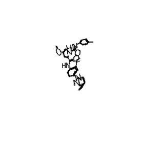 CO[C@@H]1C[C@H](C(=O)Nc2ccc(-n3ccc(C)n3)cc2F)N(C(=O)Nc2ccc(C)cc2)C1